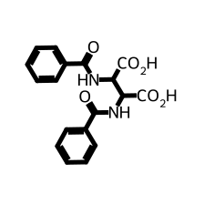 O=C(NC(C(=O)O)C(NC(=O)c1ccccc1)C(=O)O)c1ccccc1